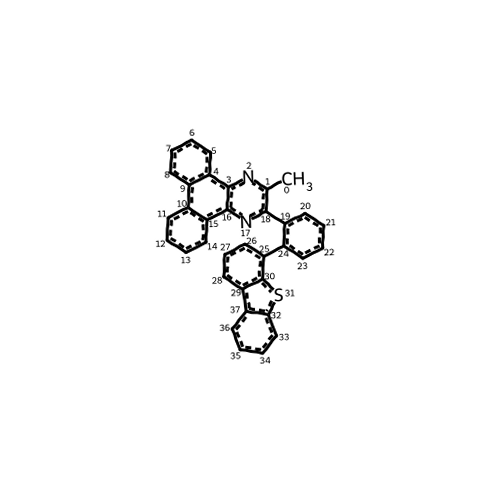 Cc1nc2c3ccccc3c3ccccc3c2nc1-c1ccccc1-c1cccc2c1sc1ccccc12